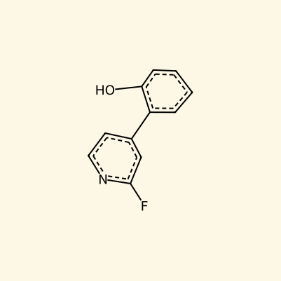 Oc1ccccc1-c1ccnc(F)c1